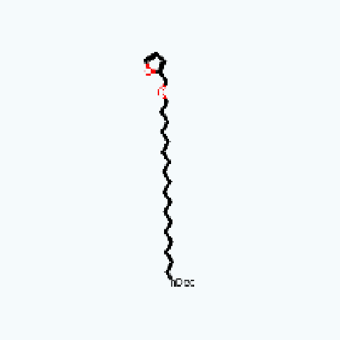 CCCCCCCCCCCCCCCCCCCCCCCCCCCCOCc1ccco1